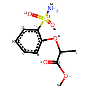 COC(=O)C(C)Oc1ccccc1S(N)(=O)=O